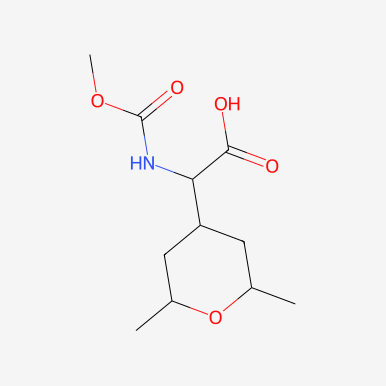 COC(=O)NC(C(=O)O)C1CC(C)OC(C)C1